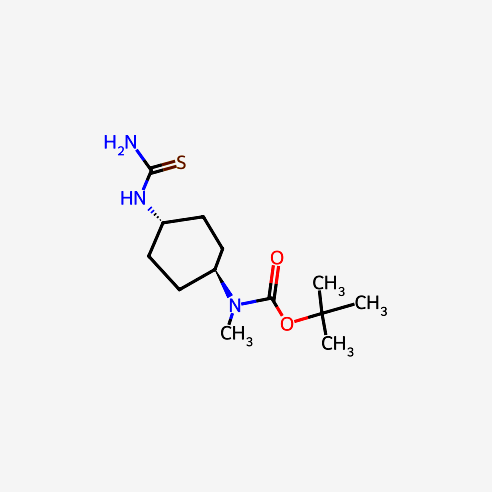 CN(C(=O)OC(C)(C)C)[C@H]1CC[C@H](NC(N)=S)CC1